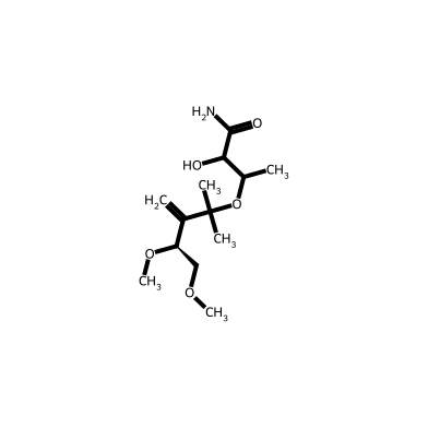 C=C([C@@H](COC)OC)C(C)(C)OC(C)C(O)C(N)=O